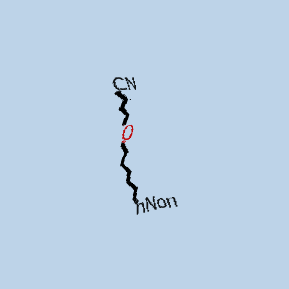 CCCCCCCCCCCCCCCCOCCC[CH]CC#N